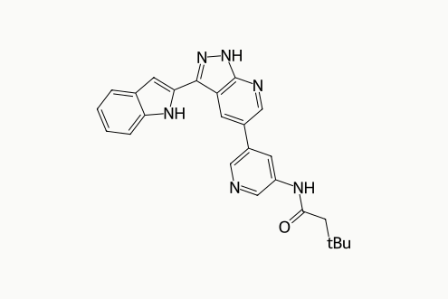 CC(C)(C)CC(=O)Nc1cncc(-c2cnc3[nH]nc(-c4cc5ccccc5[nH]4)c3c2)c1